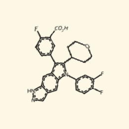 O=C(O)c1cc(-c2c(C3CCOCC3)n(-c3ccc(F)c(F)c3)c3cc4cn[nH]c4cc23)ccc1F